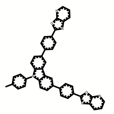 Cc1ccc(-n2c3ccc(-c4ccc(-c5nc6cccnc6o5)cc4)cc3c3cc(-c4ccc(-c5nc6cccnc6o5)cc4)ccc32)cc1